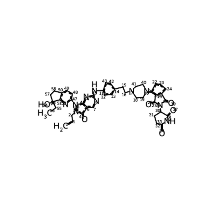 C=CCn1c(=O)c2cnc(Nc3ccc(CCN4CCN(c5cccc6c5C(=O)N(C5CCC(=O)NC5=O)C6=O)CC4)cc3)nc2n1-c1ccc2c(n1)[C@@](O)(CC)CC2